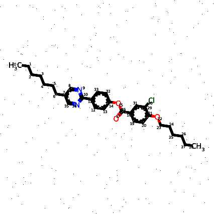 CCCCCCCc1cnc(-c2ccc(OC(=O)c3ccc(OCCCCCC)c(Cl)c3)cc2)nc1